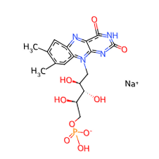 Cc1cc2nc3c(=O)[nH]c(=O)nc-3n(C[C@H](O)[C@H](O)[C@H](O)COP(=O)([O-])O)c2cc1C.[Na+]